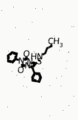 CCCCNSc1c(-c2ccccc2)n2c(=O)n(-c3ccccc3)c(=O)n12